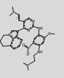 COc1cc(NCCN(C)C)c([N+](=O)[O-])cc1Nc1ncc(/C=C/P(C)C)c(-c2cn3c4c(cccc24)CCC3)n1